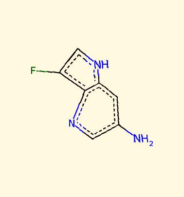 Nc1cnc2c(F)c[nH]c2c1